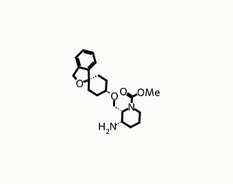 COC(=O)N1CCC[C@H](N)[C@@H]1CO[C@H]1CC[C@]2(CC1)OCc1ccccc12